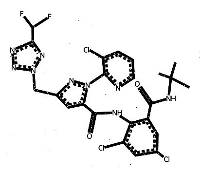 CC(C)(C)NC(=O)c1cc(Cl)cc(Cl)c1NC(=O)c1cc(Cn2nnc(C(F)F)n2)nn1-c1ncccc1Cl